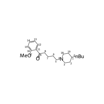 CCCCC1CCN(CCCCC(=O)c2ccccc2OC)CC1